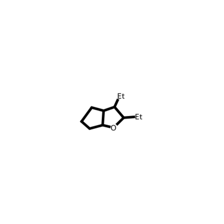 CCC1OC2CCCC2C1CC